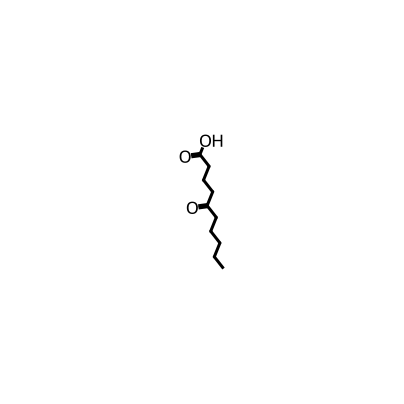 CCCCCC(=O)CCCC(=O)O